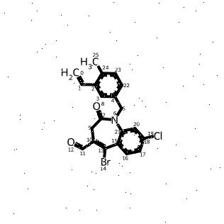 C=Cc1cc(CN2C(=O)CC(C=O)=C(Br)c3ccc(Cl)cc32)ccc1C